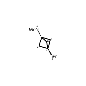 CN[C@]12C[C@@](C(C)C)(C1)C2